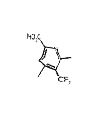 Cc1cc(C(=O)O)nc(C)c1C(F)(F)F